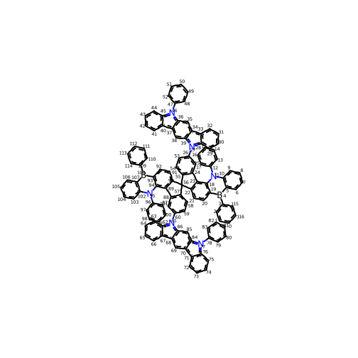 c1ccc(B2c3ccccc3N(c3ccccc3)c3c2ccc2c3-c3cc(-n4c5ccccc5c5cc6c(cc54)c4ccccc4n6-c4ccccc4)ccc3C23c2ccc(-n4c5ccccc5c5cc6c7ccccc7n(-c7ccccc7)c6cc54)cc2-c2c3ccc3c2N(c2ccccc2)c2ccccc2B3c2ccccc2)cc1